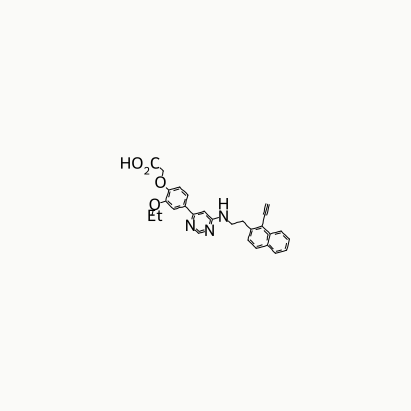 C#Cc1c(CCNc2cc(-c3ccc(OCC(=O)O)c(OCC)c3)ncn2)ccc2ccccc12